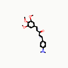 COc1cc(/C=C/C(=O)/C=C/c2ccc(N(C)C)cc2)cc(OC)c1OC